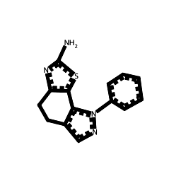 Nc1nc2c(s1)-c1c(cnn1-c1ccccc1)CC2